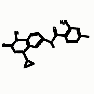 CCn1c(=O)cc(C2CC2)c2cc(N(C)C(=O)c3ccc(C)cc3N)ccc21